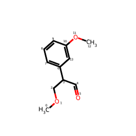 COCC(C=O)c1cccc(OC)c1